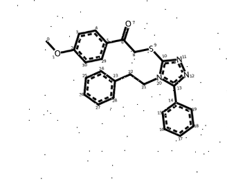 COc1ccc(C(=O)CSc2nnc(-c3ccccc3)n2CCc2ccccc2)cc1